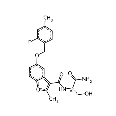 Cc1ccc(COc2ccc3oc(C)c(C(=O)N[C@@H](CO)C(N)=O)c3c2)c(F)c1